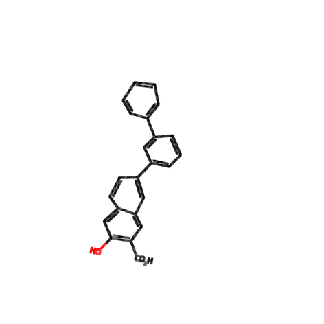 O=C(O)c1cc2cc(-c3cccc(-c4ccccc4)c3)ccc2cc1O